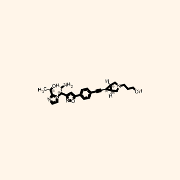 C[C@H](O)c1nccn1[C@H](CN)c1cc(-c2ccc(C#C[C@H]3[C@H]4CN(CCCO)C[C@@H]34)cc2)on1